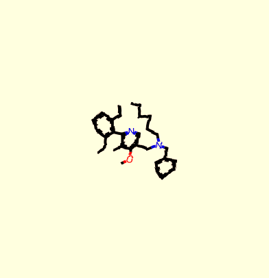 CCCCCCN(Cc1ccccc1)Cc1cnc(-c2c(CC)cccc2CC)c(C)c1OC